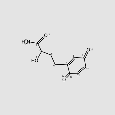 NC(=O)C(O)CCC1=CC(=O)C=CC1=O